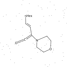 CCCCCCC=CC(=C=O)N1CCOCC1